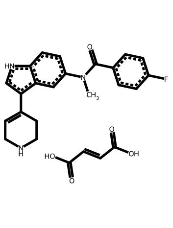 CN(C(=O)c1ccc(F)cc1)c1ccc2[nH]cc(C3=CCNCC3)c2c1.O=C(O)/C=C/C(=O)O